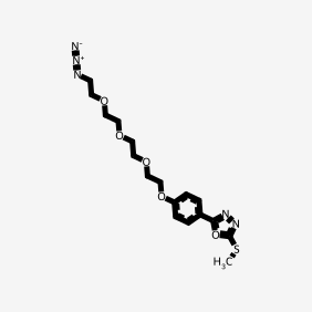 CSc1nnc(-c2ccc(OCCOCCOCCOCCN=[N+]=[N-])cc2)o1